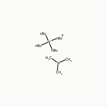 CCCC[N+](CCCC)(CCCC)CCCC.C[Si](C)C.[F-]